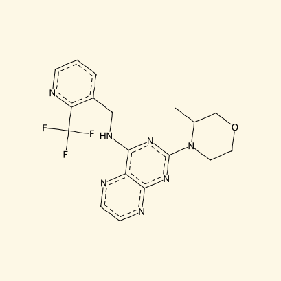 CC1COCCN1c1nc(NCc2cccnc2C(F)(F)F)c2nccnc2n1